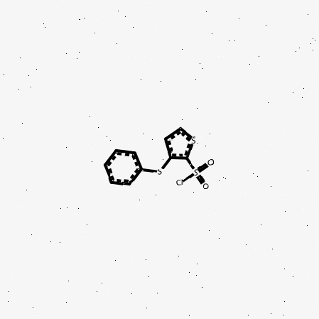 O=S(=O)(Cl)c1sccc1Sc1ccccc1